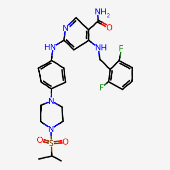 CC(C)S(=O)(=O)N1CCN(c2ccc(Nc3cc(NCc4c(F)cccc4F)c(C(N)=O)cn3)cc2)CC1